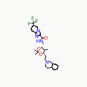 CC1[C@@H](CCN2CCc3ccccc3C2)OC(C)(C)O[C@@H]1CNC(=O)c1cn2cc(C(F)(F)F)ccc2n1